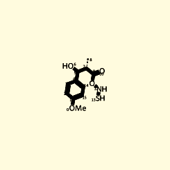 COc1ccc(C(O)[C@H](C)C(=O)ONS)cc1